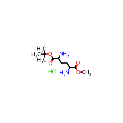 COC(=O)[C@@H](N)CCC(N)C(=O)OC(C)(C)C.Cl